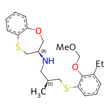 CCc1cccc(SC[C@@H](C)CN[C@@H]2COc3ccccc3SC2)c1OCOC